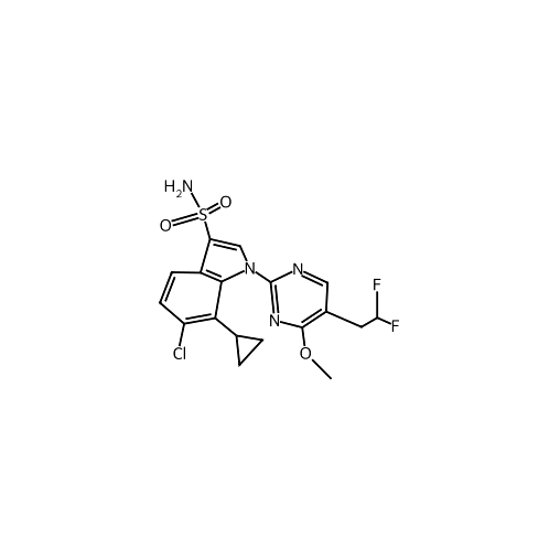 COc1nc(-n2cc(S(N)(=O)=O)c3ccc(Cl)c(C4CC4)c32)ncc1CC(F)F